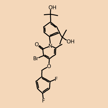 Cc1cc(OCc2ccc(F)cc2F)c(Br)c(=O)n1-c1ccc(C(C)(C)O)cc1C(C)(C)O